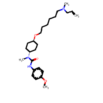 C=CCN(C)CCCCCCO[C@H]1CC[C@H](N(C)C(=O)Nc2ccc(OC)cc2)CC1